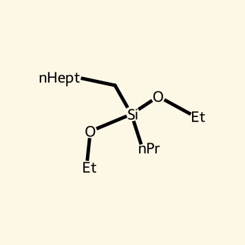 CCCCCCCC[Si](CCC)(OCC)OCC